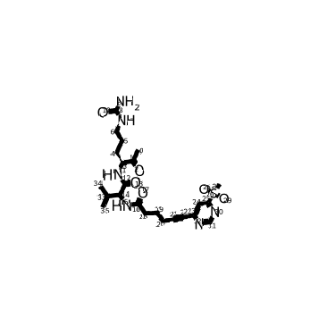 CC(=O)[C@H](CCCNC(N)=O)NC(=O)C(NC(=O)CCCC#Cc1cc(S(C)(=O)=O)ncn1)C(C)C